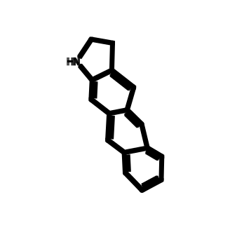 c1ccc2cc3cc4c(cc3cc2c1)CCN4